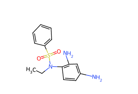 CCN(c1ccc(N)cc1N)S(=O)(=O)c1ccccc1